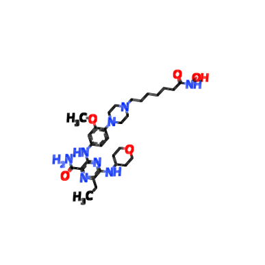 CCc1nc(C(N)=O)c(Nc2ccc(N3CCN(CCCCCCC(=O)NO)CC3)c(OC)c2)nc1NC1CCOCC1